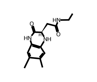 CCNC(=O)C[C@H]1Nc2cc(C)c(C)cc2NC1=O